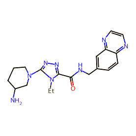 CCn1c(C(=O)NCc2ccc3nccnc3c2)nnc1N1CCCC(N)C1